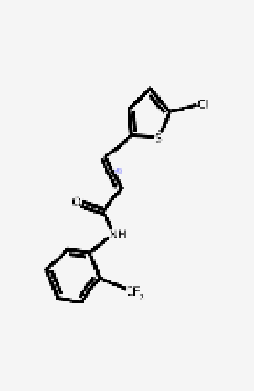 O=C(/C=C/c1ccc(Cl)s1)Nc1ccccc1C(F)(F)F